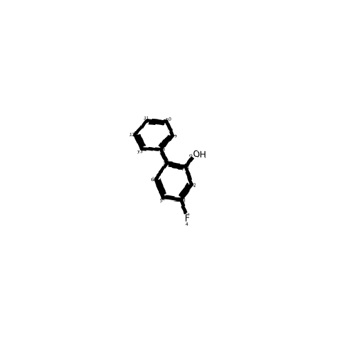 Oc1cc(F)ccc1-c1ccccc1